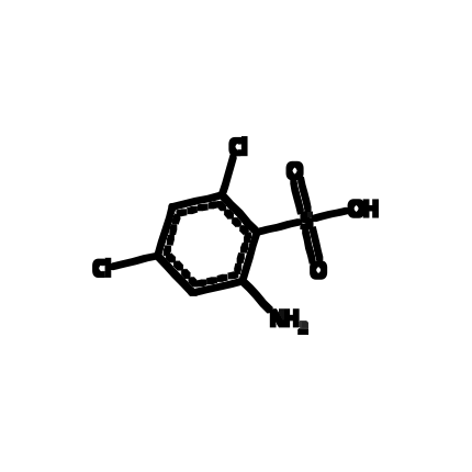 Nc1cc(Cl)cc(Cl)c1S(=O)(=O)O